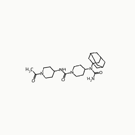 CC(=O)N1CCC(NC(=O)N2CCC(N(C(N)=O)C34CC5CC(CC(C5)C3)C4)CC2)CC1